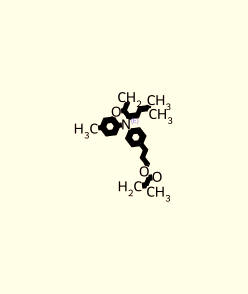 C=CC1Oc2cc(C)ccc2N(c2ccc(CCCOC(=O)C(=C)C)cc2)/C1=C/C=C(C)C